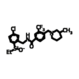 CC[S+]([O-])c1ccc(Cl)cc1CNC(=O)c1ccc(CN2CCCC(C)C2)c(C(F)(F)F)c1